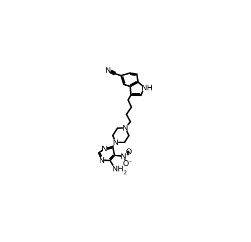 N#Cc1ccc2[nH]cc(CCCCN3CCN(c4ncnc(N)c4[N+](=O)[O-])CC3)c2c1